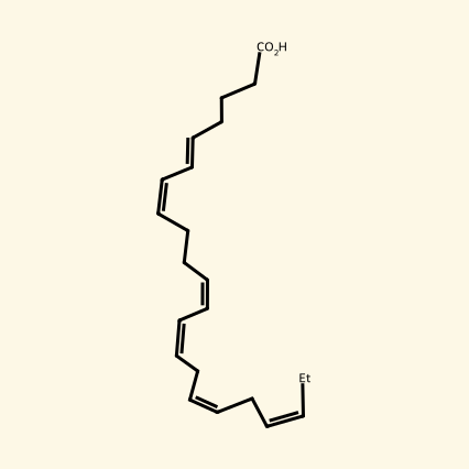 CC/C=C\C/C=C\C/C=C\C=C/CC/C=C\C=C\CCCC(=O)O